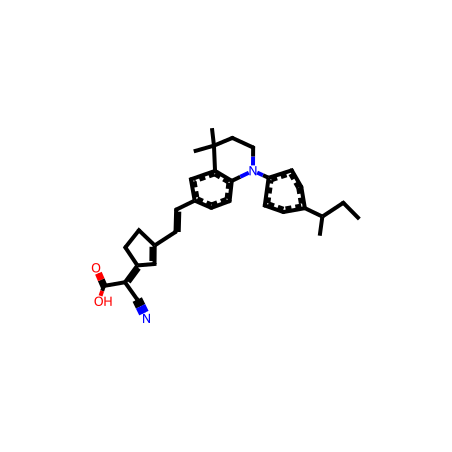 CCC(C)c1ccc(N2CCC(C)(C)c3cc(/C=C/C4=CC(=C(\C#N)C(=O)O)/CC4)ccc32)cc1